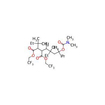 CCC(C(C(=O)OCC(F)(F)F)C(C(=O)OCC(F)(F)F)C(C)(C)CC)C(C)(CC)CC(CC)(OC(=O)N(C)C)C(C)C